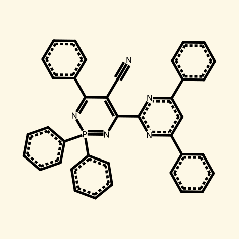 N#CC1=C(c2nc(-c3ccccc3)cc(-c3ccccc3)n2)N=P(c2ccccc2)(c2ccccc2)N=C1c1ccccc1